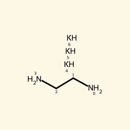 NCCN.[KH].[KH].[KH]